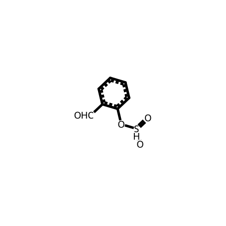 O=Cc1ccccc1O[SH](=O)=O